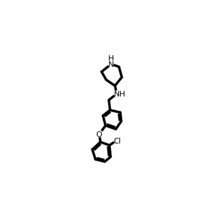 Clc1ccccc1Oc1cccc(CNC2CCNCC2)c1